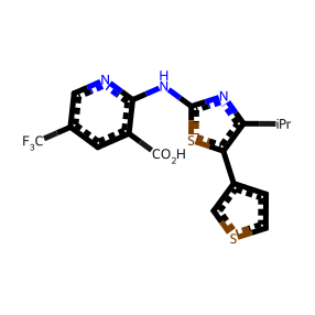 CC(C)c1nc(Nc2ncc(C(F)(F)F)cc2C(=O)O)sc1-c1ccsc1